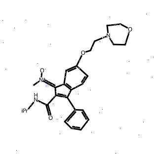 CC(C)NC(=O)C1=C(c2ccccc2)c2ccc(OCCN3CCOCC3)cc2/C1=[N+](/C)[O-]